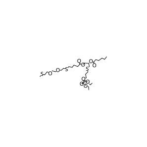 CCCCCC(=O)OC(COC(=O)CCCCSCCOCCOCCSC)CSCCCOP(=O)(OCC)OCC